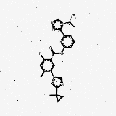 Cc1cc(F)c(C(=O)Nc2cccc(-c3nncn3[C@@H](C)C(F)(F)F)n2)cc1-n1cnc(C2(C)CC2)c1